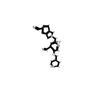 Cl.N#Cc1ccc2c(c1)CN(Cc1cc(C#N)c(OCC3CCNCC3)cn1)C2